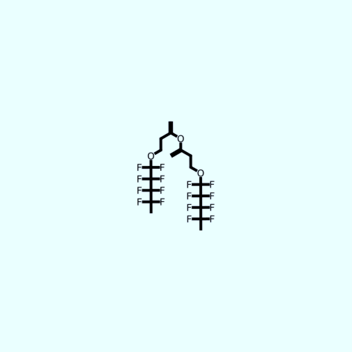 C=C(CCOC(F)(F)C(F)(F)C(F)(F)C(C)(F)F)OC(=C)CCOC(F)(F)C(F)(F)C(F)(F)C(C)(F)F